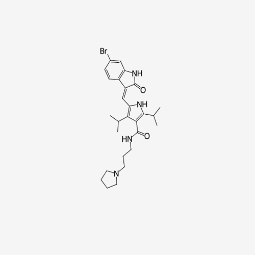 CC(C)c1[nH]c(C=C2C(=O)Nc3cc(Br)ccc32)c(C(C)C)c1C(=O)NCCCN1CCCC1